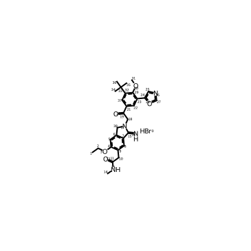 Br.CCOc1cc2c(cc1CC(=O)NC)C(=N)N(CC(=O)c1cc(-c3cnco3)c(OC)c(C(C)(C)C)c1)C2